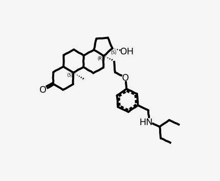 CCC(CC)NCc1cccc(OCC[C@]23CCC4C(CCC5CC(=O)CC[C@@]54C)C2CC[C@@H]3O)c1